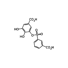 O=C(O)c1cccc(S(=O)(=O)Oc2cc(C(=O)O)cc(O)c2O)c1